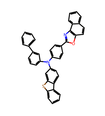 c1ccc(-c2cccc(N(c3ccc(-c4nc5c(ccc6ccccc65)o4)cc3)c3ccc4c(c3)sc3ccccc34)c2)cc1